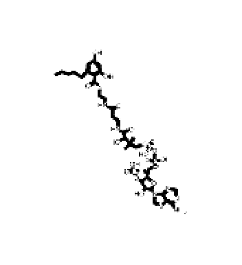 CCCCCc1cc(O)cc(O)c1C(=O)SCCNC(=O)CCNC(=O)C(O)C(C)(C)COP(=O)(O)OP(=O)(O)OCC1OC(n2cnc3c(N)ncnc32)C(O)C1OP(=O)(O)O